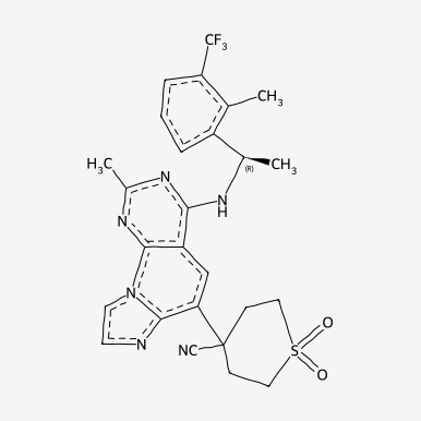 Cc1nc(N[C@H](C)c2cccc(C(F)(F)F)c2C)c2cc(C3(C#N)CCS(=O)(=O)CC3)c3nccn3c2n1